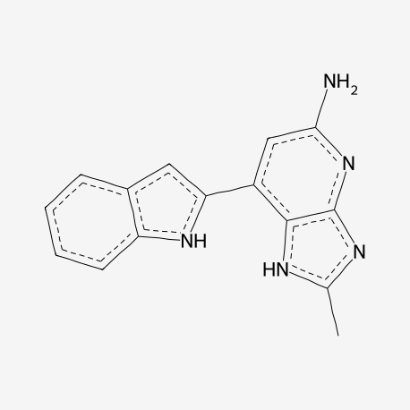 Cc1nc2nc(N)cc(-c3cc4ccccc4[nH]3)c2[nH]1